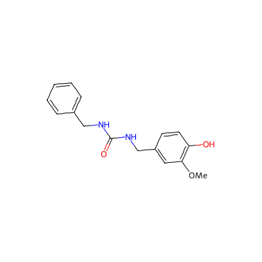 COc1cc(CNC(=O)NCc2ccccc2)ccc1O